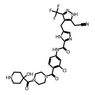 N#CCc1[nH]nc(C(F)(F)F)c1Cc1cnc(C(=O)Nc2ccc(C(=O)N3CCN(C(=O)C4(O)CCNCC4)CC3)c(Cl)c2)[nH]1